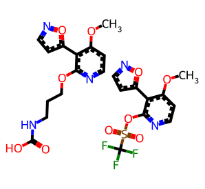 COc1ccnc(OCCCNC(=O)O)c1-c1ccno1.COc1ccnc(OS(=O)(=O)C(F)(F)F)c1-c1ccno1